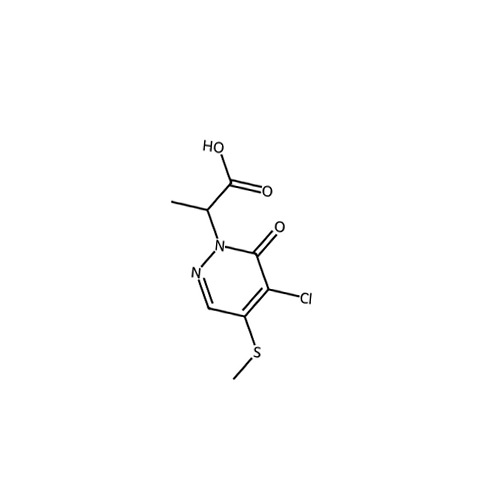 CSc1cnn(C(C)C(=O)O)c(=O)c1Cl